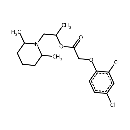 CC(CN1C(C)CCCC1C)OC(=O)COc1ccc(Cl)cc1Cl